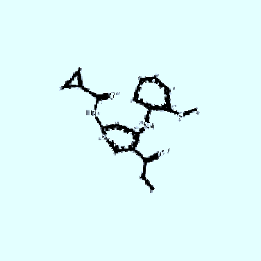 CCC(=O)c1cnc(NC(=O)C2CC2)cc1Nc1ccccc1SC